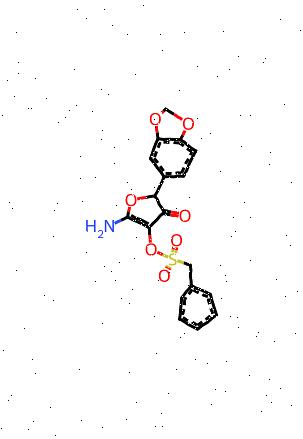 NC1=C(OS(=O)(=O)Cc2ccccc2)C(=O)C(c2ccc3c(c2)OCO3)O1